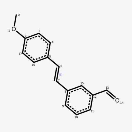 COc1ccc(/C=C/c2cccc(C=O)c2)cc1